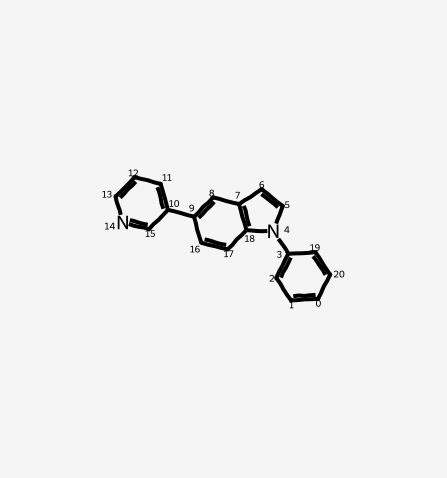 c1ccc(-n2ccc3cc(-c4cccnc4)ccc32)cc1